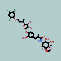 CC(=Cc1ccc(O[C@@H]2O[C@H](C(C)=CCOc3cc(Cl)c(Cl)cc3Cl)[C@@H](O)[C@@H]2O)c(O)c1)C(=O)N[C@@H]1[C@H](O)[C@@H](O)[C@H]2OCO[C@H]2[C@@H]1O